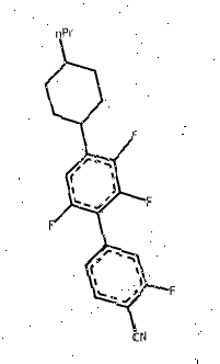 CCCC1CCC(c2cc(F)c(-c3ccc(C#N)c(F)c3)c(F)c2F)CC1